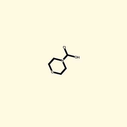 OC(Cl)N1CCOCC1